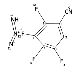 N#Cc1cc(F)c(F)c(F)c1F.[N-]=[N+]=N